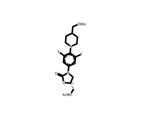 COCC1CCN(c2c(F)cc(N3C[C@H](CNC(C)=O)OC3=O)cc2F)CC1